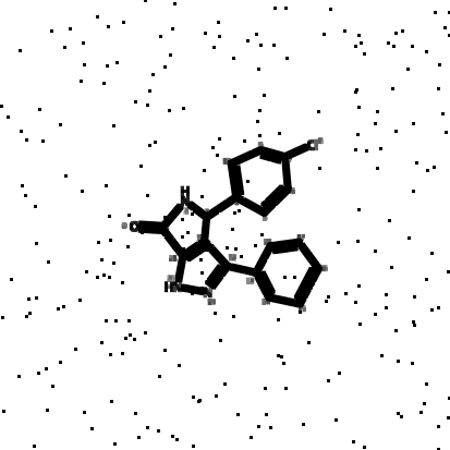 O=C1NC(c2ccc(Cl)cc2)c2c(-c3ccccc3)n[nH]c21